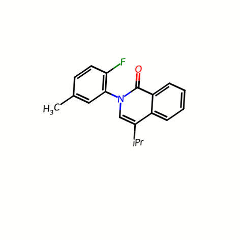 Cc1ccc(F)c(-n2cc(C(C)C)c3ccccc3c2=O)c1